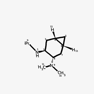 CC(C)N[C@H]1C[C@@H]2C[C@@H]2C[C@@H]1N(C)C